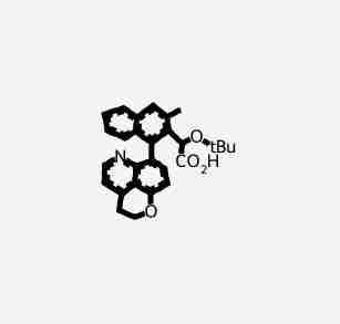 Cc1cc2ccccc2c(-c2ccc3c4c(ccnc24)CCO3)c1C(OC(C)(C)C)C(=O)O